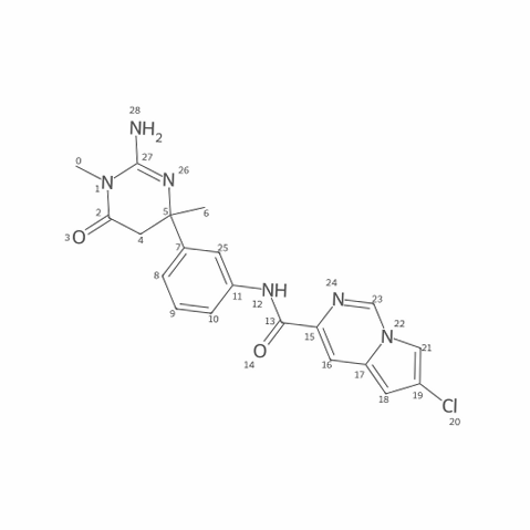 CN1C(=O)CC(C)(c2cccc(NC(=O)c3cc4cc(Cl)cn4cn3)c2)N=C1N